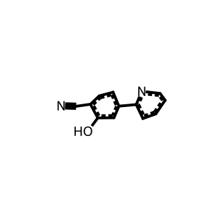 N#Cc1ccc(-c2ccccn2)cc1O